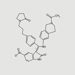 CC(=O)N1CCc2cc(N/C(=C3\C(=O)Nc4ccc([N+](=O)[O-])cc43)c3ccc(CCCN4CCCC4=O)cc3)ccc2C1